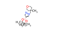 CC1(Cn2cc(B3OC(C)(C)C(C)(C)O3)cn2)CCOCC1